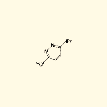 CC(C)c1ccc(P)nn1